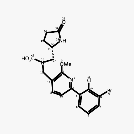 COc1nc(-c2cccc(Br)c2Cl)ccc1CN(C[C@@H]1CCC(=O)N1)C(=O)O